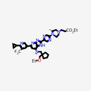 CCOCC1(CN(C)c2cc(-c3cnc(C4CC4)c(C(F)(F)F)c3)nc3nc(-c4cnc(N5CCN(CCC(=O)OCC)C[C@H]5C)cn4)[nH]c23)CCCC1